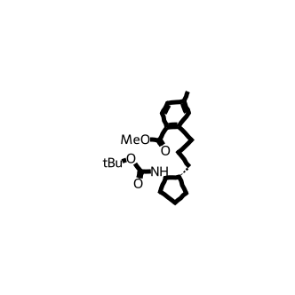 COC(=O)c1ccc(C)cc1CCC[C@@H]1CCC[C@@H]1NC(=O)OC(C)(C)C